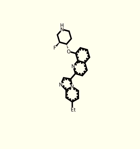 CCc1ccn2c(-c3ccc4cccc(O[C@H]5CCNC[C@@H]5F)c4n3)cnc2c1